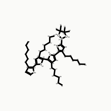 CCCCCCc1ccsc1-c1cc(CCCCCC)c(-c2sc(-c3sc(B4OC(C)(C)C(C)(C)O4)cc3CCCCCC)cc2CCCCCC)s1